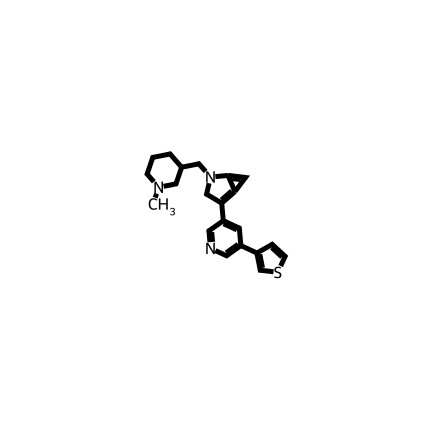 CN1CCCC(CN2CC(c3cncc(-c4ccsc4)c3)=C3C=C32)C1